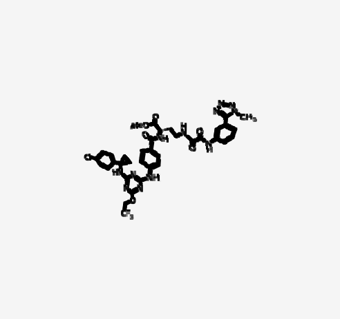 COC(=O)[C@H](CCNC(=O)C(=O)Nc1cccc(-c2nnnn2C)c1)NC(=O)c1ccc(Nc2nc(NC3(c4ccc(Cl)cc4)CC3)nc(OCC(F)(F)F)n2)cc1